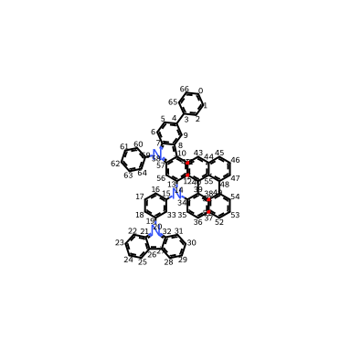 c1ccc(-c2ccc3c(c2)c2ccc(N(c4cccc(-n5c6ccccc6c6ccccc65)c4)c4ccccc4-c4cccc5cccc(-c6ccccc6)c45)cc2n3-c2ccccc2)cc1